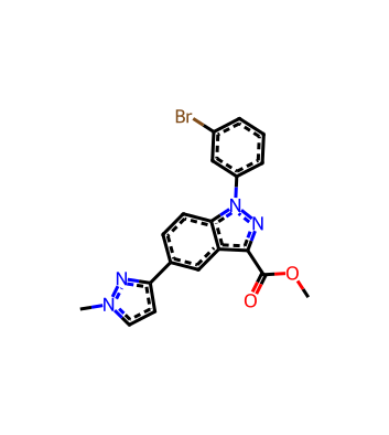 COC(=O)c1nn(-c2cccc(Br)c2)c2ccc(-c3ccn(C)n3)cc12